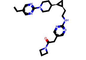 CCc1cnc(N2CCC([C@H]3C[C@H]3CCNc3ncc(CC(=O)N4CCC4)cn3)CC2)nc1